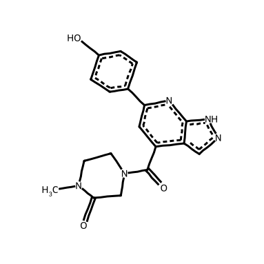 CN1CCN(C(=O)c2cc(-c3ccc(O)cc3)nc3[nH]ncc23)CC1=O